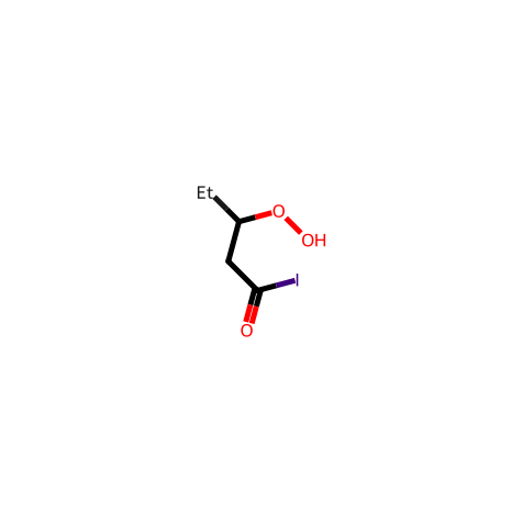 CCC(CC(=O)I)OO